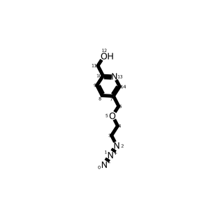 [N-]=[N+]=NCCOCc1ccc(CO)nc1